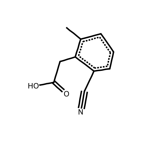 Cc1cccc(C#N)c1CC(=O)O